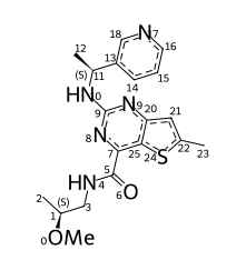 CO[C@@H](C)CNC(=O)c1nc(N[C@@H](C)c2cccnc2)nc2cc(C)sc12